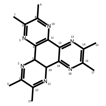 CC1=NC2c3nc(C)c(C)nc3-c3nc(C)c(C)nc3C2N=C1C